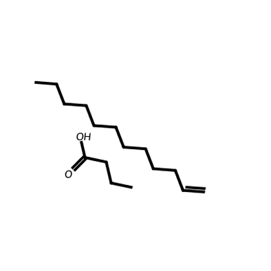 C=CCCCCCCCCCC.CCCC(=O)O